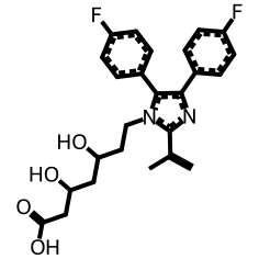 C=C(C)c1nc(-c2ccc(F)cc2)c(-c2ccc(F)cc2)n1CCC(O)CC(O)CC(=O)O